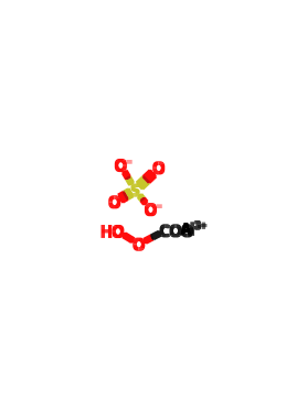 O=C([O-])OO.O=S(=O)([O-])[O-].[Al+3]